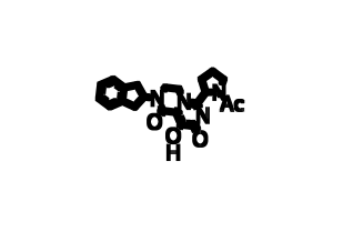 CC(=O)N1CCCC1c1nc(=O)c(O)c2n1CCN(C1Cc3ccccc3C1)C2=O